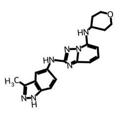 Cc1n[nH]c2ccc(Nc3nc4cccc(NC5CCOCC5)n4n3)cc12